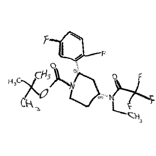 CCN(C(=O)C(F)(F)F)[C@@H]1CCN(C(=O)OC(C)(C)C)[C@H](c2cc(F)ccc2F)C1